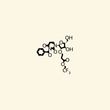 O=C(CCO[C@H]1C(O)[C@@H](CO)O[C@H]1n1ccc(=O)n(C(=O)c2ccccc2)c1=O)OCC(F)(F)F